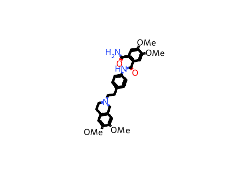 COc1cc2c(cc1OC)CN(CCc1ccc(NC(=O)c3cc(OC)c(OC)cc3C(N)=O)cc1)CC2